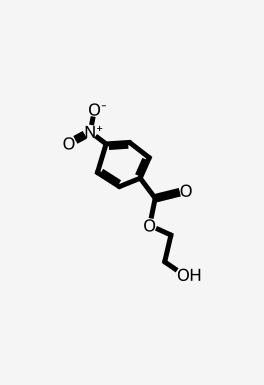 O=C(OCCO)c1ccc([N+](=O)[O-])cc1